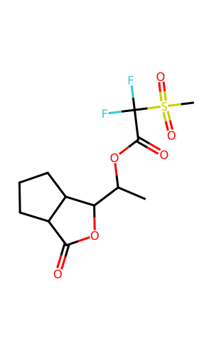 CC(OC(=O)C(F)(F)S(C)(=O)=O)C1OC(=O)C2CCCC21